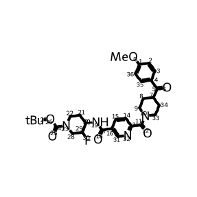 COc1ccc(C(=O)C2CCN(C(=O)c3ccc(C(=O)N[C@@H]4CCN(C(=O)OC(C)(C)C)CC4F)cn3)CC2)cc1